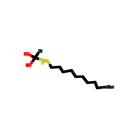 CCC(O)(O)S.CCCCCCCCCCCCCCCCCCS